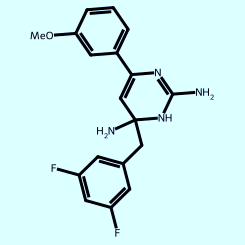 COc1cccc(C2=CC(N)(Cc3cc(F)cc(F)c3)NC(N)=N2)c1